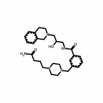 NC(=O)CCCN1CCN(Cc2cccc(C(=O)NCC(O)CN3CCc4ccccc4C3)c2)CC1